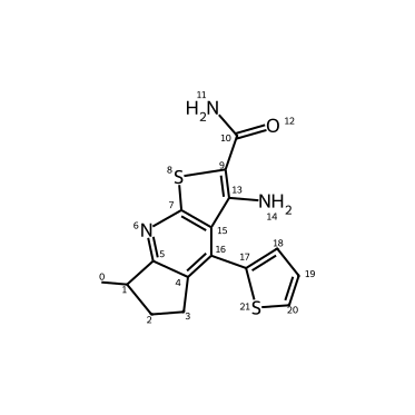 CC1CCc2c1nc1sc(C(N)=O)c(N)c1c2-c1cccs1